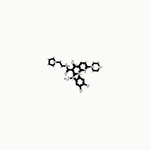 Cn1c2cc(Cl)c(Cl)cc2n2c3nc(N4CCOCC4)ccc3c(=O)c(C(=O)NCCN3CCCC3)c12